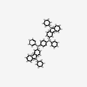 C1=CC(N(c2ccc(N(c3ccccc3)c3ccc4c(c3)c3ccccc3n4-c3ccccc3)cc2)c2ccc3c(c2)c2ccccc2n3-c2ccccc2)=CCC1